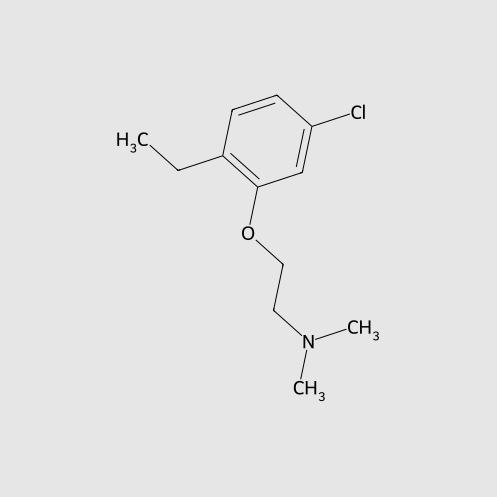 CCc1ccc(Cl)cc1OCCN(C)C